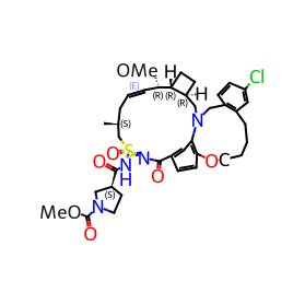 COC(=O)N1CC[C@H](C(=O)NS2(=O)=NC(=O)c3ccc4c(c3)N(Cc3ccc(Cl)cc3CCCCO4)C[C@@H]3CC[C@H]3[C@@H](OC)/C=C/C[C@H](C)C2)C1